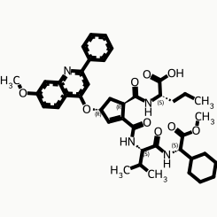 CCC[C@H](NC(=O)[C@@H]1C[C@@H](Oc2cc(-c3ccccc3)nc3cc(OC)ccc23)C=C1C(=O)N[C@H](C(=O)N[C@H](C(=O)OC)C1CCCCC1)C(C)C)C(=O)O